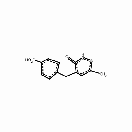 Cc1cc(Cc2ccc(C(=O)O)cc2)c(=O)[nH]n1